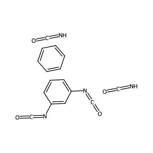 N=C=O.N=C=O.O=C=Nc1cccc(N=C=O)c1.c1ccccc1